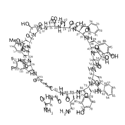 COCC[C@H]1C(=O)N2C[C@@H](O)C[C@@H]2C(=O)N[C@@H](CC(=O)O)C(=O)N[C@@H](C(C)C)C(=O)N(C)[C@@H](Cc2ccccc2)C(=O)N[C@@H](Cc2ccc(O)cc2)C(=O)N2C[C@@H](O)C[C@@H]2C(=O)N[C@@H](Cc2c[nH]c3ccccc23)C(=O)N[C@@H](Cc2ccc(O)cc2)C(=O)N[C@@H](CCCN)C(=O)N[C@H](C(=O)NCC(N)=O)CSCC(=O)N[C@@H](Cc2ccc(F)c(F)c2)C(=O)N(C)[C@@H](Cc2ccccc2)C(=O)N1C